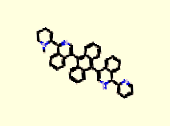 CN1CCCC=C1c1ncc(-c2c3ccccc3c(C3=CNC(c4ccccn4)c4ccccc43)c3ccccc23)c2ccccc12